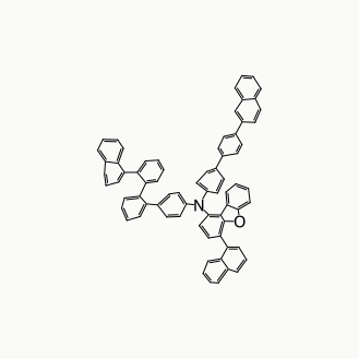 c1ccc(-c2ccccc2-c2cccc3ccccc23)c(-c2ccc(N(c3ccc(-c4ccc(-c5ccc6ccccc6c5)cc4)cc3)c3ccc(-c4cccc5ccccc45)c4oc5ccccc5c34)cc2)c1